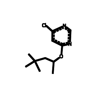 CC(CC(C)(C)C)Oc1cc(Cl)ncn1